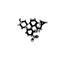 CN1CCN(c2ccc([N+](=O)[O-])c(NC(CC3CC3)c3ccccc3)c2)CC1